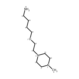 CN1CCN(CCOCCCCN)CC1